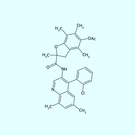 CC(=O)Oc1c(C)c(C)c2c(c1C)CC(C)(C(=O)Nc1cnc3c(C)cc(C)cc3c1-c1ccccc1Cl)O2